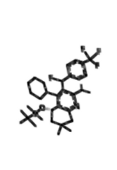 CC(C)c1nc2c(c(C3CCCCC3)c1C(F)c1ccc(C(F)(F)F)cc1)[C@@H](O[Si](C)(C)C(C)(C)C)CC(C)(C)C2